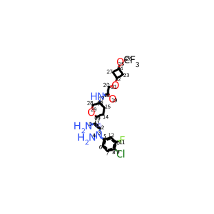 N/C(=C\N(N)c1ccc(Cl)c(F)c1)[C@H]1CC[C@H](NC(=O)COC2CC(OC(F)(F)F)C2)CO1